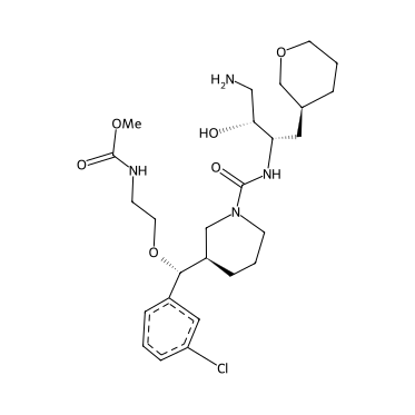 COC(=O)NCCO[C@@H](c1cccc(Cl)c1)[C@@H]1CCCN(C(=O)N[C@@H](C[C@@H]2CCCOC2)[C@H](O)CN)C1